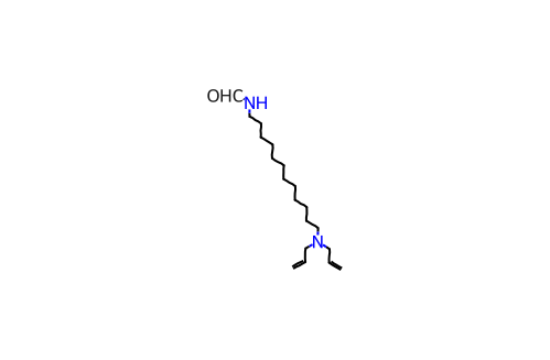 C=CCN(CC=C)CCCCCCCCCCCCNC=O